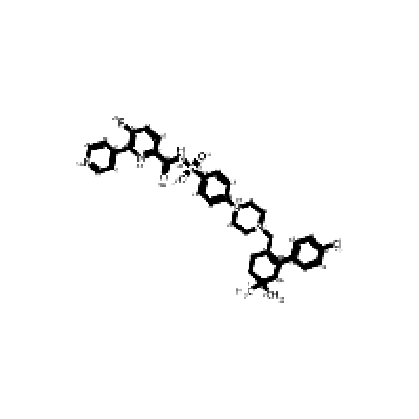 CC1(C)CCC(CN2CCN(c3ccc(S(=O)(=O)NC(=O)c4ccc(F)c(-c5ccncc5)n4)cc3)CC2)=C(c2ccc(Cl)cc2)C1